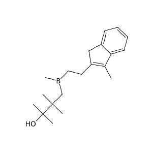 CB(CCC1=C(C)c2ccccc2C1)CC(C)(C)C(C)(C)O